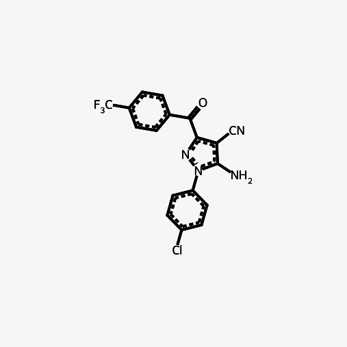 N#Cc1c(C(=O)c2ccc(C(F)(F)F)cc2)nn(-c2ccc(Cl)cc2)c1N